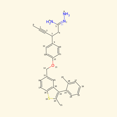 CC#CC(C/C(N)=N/N)c1ccc(OCc2ccc3sc(C)c(-c4ccccc4C)c3c2)cc1